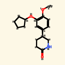 CCCOc1ccc([C@@H]2CCC(=O)NC2)cc1OC1CCCC1